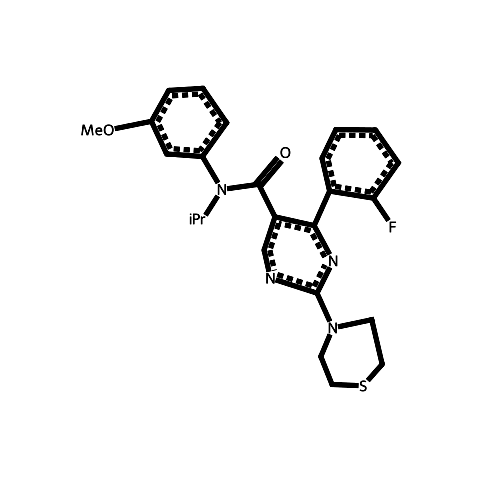 COc1cccc(N(C(=O)c2cnc(N3CCSCC3)nc2-c2ccccc2F)C(C)C)c1